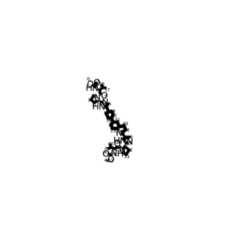 COC(=O)N[C@H](C(=O)N1CCC[C@H]1c1ncc(-c2ccc(-c3ccc4nc(-c5cnc([C@@H]6CCCN6C(=O)[C@@H](NC(=O)OC)C(C)C)[nH]5)ccc4c3)cc2)[nH]1)C(C)C